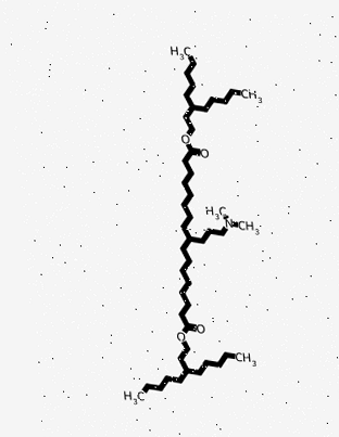 CCCCCC(CCCCC)CCOC(=O)CCCCCCCC(CCCCCCCC(=O)OCCC(CCCCC)CCCCC)CCCN(C)C